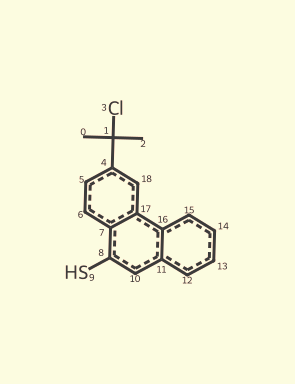 CC(C)(Cl)c1ccc2c(S)cc3ccccc3c2c1